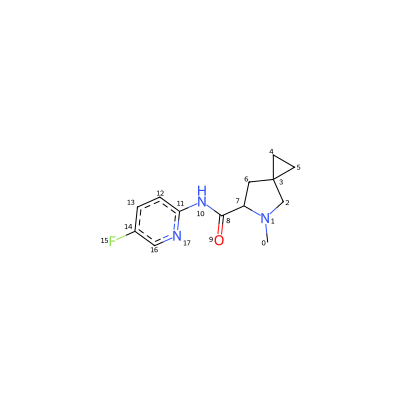 CN1CC2(CC2)CC1C(=O)Nc1ccc(F)cn1